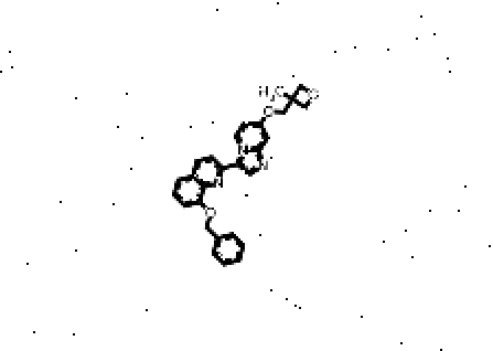 CC1(COc2ccn3c(-c4ccc5cccc(OCc6ccccc6)c5n4)cnc3c2)COC1